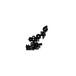 C#C[C@@H]1CN(C(=O)[C@@H](NC(=O)c2ccc(-c3nc(N4CCN(C)CC4)sc3F)cc2)C2=CCCC2)[C@H]2[C@@H]1OCC2(OC)OC